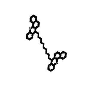 c1ccc2c(c1)ccc1c(CCCCCCCCCCc3c4ccccc4nc4c3ccc3ccccc34)c3ccccc3nc12